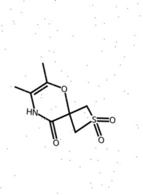 CC1=C(C)OC2(CS(=O)(=O)C2)C(=O)N1